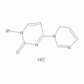 CC(C)n1ccc(N2C=NC=CC2)nc1=O.Cl